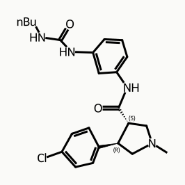 CCCCNC(=O)Nc1cccc(NC(=O)[C@@H]2CN(C)C[C@H]2c2ccc(Cl)cc2)c1